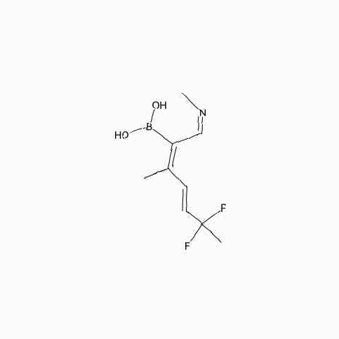 C\N=C/C(B(O)O)=C(C)\C=C\C(C)(F)F